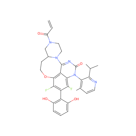 C=CC(=O)N1CCN2c3nc(=O)n(-c4c(C)ccnc4C(C)C)c4c(F)c(-c5c(O)cccc5O)c(F)c(c34)OCCC2C1